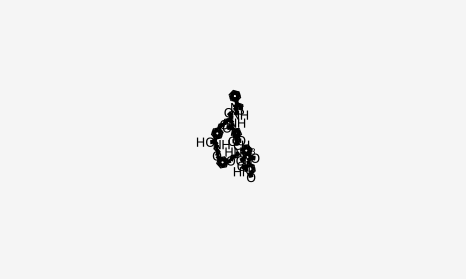 CS(=O)(=O)n1ccc(C(=O)NC(COCc2ccc(C(O)NCCOc3cccc(OCCNc4cccc5c4C(=O)N(C4CCC(=O)NC4=O)C5=O)c3)cc2)C(=O)Nc2nc(-c3ccccc3)cs2)c1